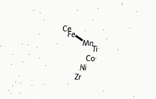 [Ce].[Co].[Mn][Fe].[Ni].[Ti].[Zr]